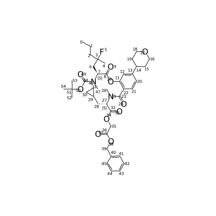 CCCC(C)(F)C[C@@H](C(=O)Oc1cc(C2CCOCC2)ccc1C(=O)N(C)[C@@H](CC1CC1)C(=O)OCC(=O)OCc1ccccc1)N(C)C(=O)OC(C)(C)C